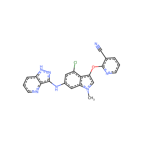 Cn1cc(Oc2ncccc2C#N)c2c(Cl)cc(Nc3n[nH]c4cccnc34)cc21